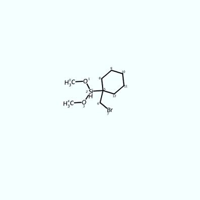 CO[SiH](OC)C1(CBr)CCCCC1